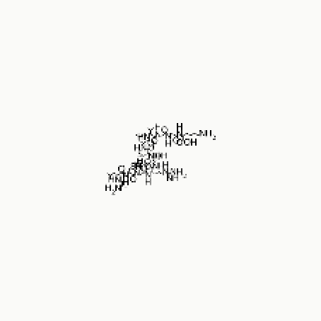 CC(C)C[C@H](NC(=O)[C@H](C)N)C(=O)N[C@@H](CS)C(=O)NCC(=O)N[C@@H](CCCNC(=N)N)C(=O)N[C@@H](CO)C(=O)N[C@@H](CS)C(=O)N[C@@H](CC(C)C)C(=O)N[C@H](C(=O)NCC(=O)NCC(=O)N[C@@H](CCCCN)C(=O)O)C(C)C